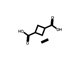 C=C.O=C(O)C1CC(C(=O)O)C1